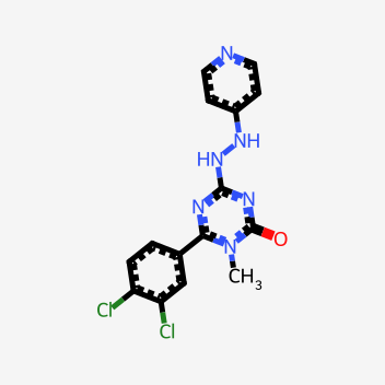 Cn1c(-c2ccc(Cl)c(Cl)c2)nc(NNc2ccncc2)nc1=O